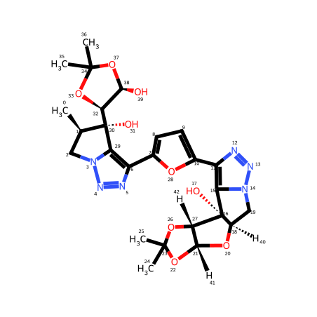 C[C@@H]1Cn2nnc(-c3ccc(-c4nnn5c4[C@@]4(O)[C@@H](C5)O[C@@H]5OC(C)(C)O[C@@H]54)o3)c2[C@]1(O)[C@H]1OC(C)(C)O[C@H]1O